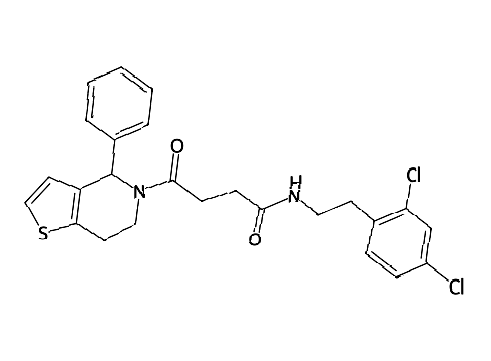 O=C(CCC(=O)N1CCc2sccc2C1c1ccccc1)NCCc1ccc(Cl)cc1Cl